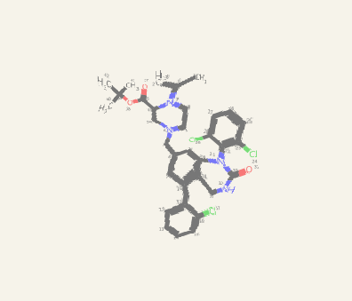 CC(C)N1CCN(Cc2cc(-c3ccccc3Cl)c3c(c2)N(c2c(Cl)cccc2Cl)C(=O)NC3)CC1C(=O)OC(C)(C)C